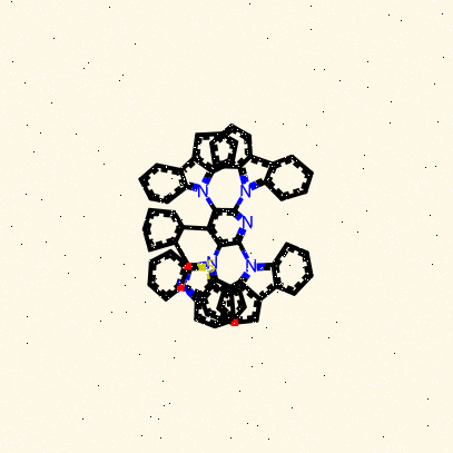 c1ccc(-c2c(-n3c4ccccc4c4ccccc43)c(-n3c4ccccc4c4ccccc43)nc(-n3c4ccccc4c4ccccc43)c2-n2c3ccccc3c3ccccc32)c(-c2nc3ccccc3s2)c1